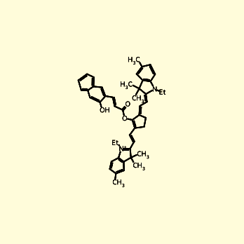 CCN1/C(=C/C=C2\CCC(/C=C/C3=[N+](CC)c4ccc(C)cc4C3(C)C)=C2OC(=O)/C=C/c2cc3ccccc3cc2O)C(C)(C)c2cc(C)ccc21